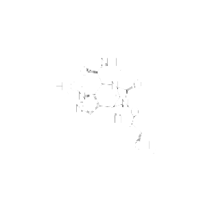 C=CCON1C(=O)N2C[C@@H]1c1cnn(C)c1C2C(N)=O